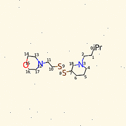 CC(C)CCN1CCCC(SSCCN2CCOCC2)C1